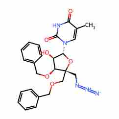 Cc1cn([C@@H]2O[C@](CN=[N+]=[N-])(COCc3ccccc3)[C@@H](OCc3ccccc3)[C@H]2O)c(=O)[nH]c1=O